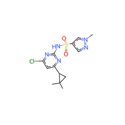 Cn1cc(S(=O)(=O)Nc2nc(Cl)cc(C3CC3(C)C)n2)cn1